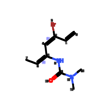 C=C/C(Br)=C\C(=C/C)NC(=O)N(C)C